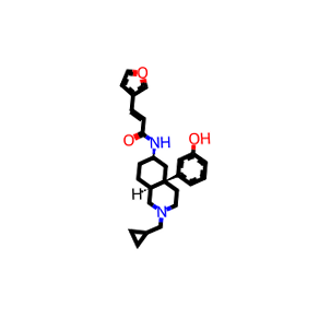 O=C(C=Cc1ccoc1)N[C@@H]1CC[C@@H]2CN(CC3CC3)CC[C@@]2(c2cccc(O)c2)C1